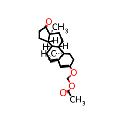 CC(=O)OCOC1=CC2=CC[C@@H]3[C@H](CC[C@]4(C)C(=O)CC[C@@H]34)[C@@]2(C)CC1